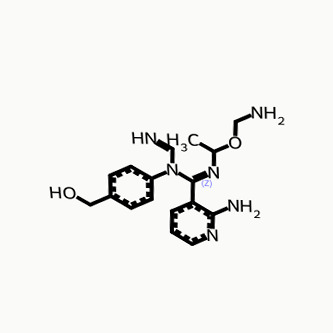 CC(/N=C(/c1cccnc1N)N(C=N)c1ccc(CO)cc1)OCN